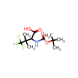 CC(C)(C)OC(=O)NC(C(=O)O)C(C)(C)C(F)(F)F